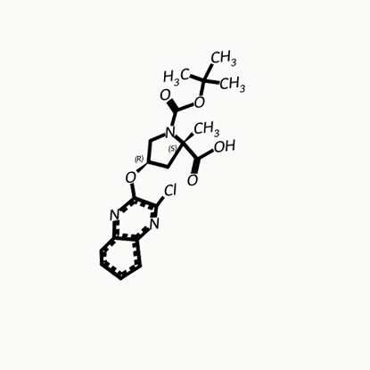 CC(C)(C)OC(=O)N1C[C@H](Oc2nc3ccccc3nc2Cl)C[C@@]1(C)C(=O)O